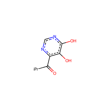 CC(C)C(=O)c1ncnc(O)c1O